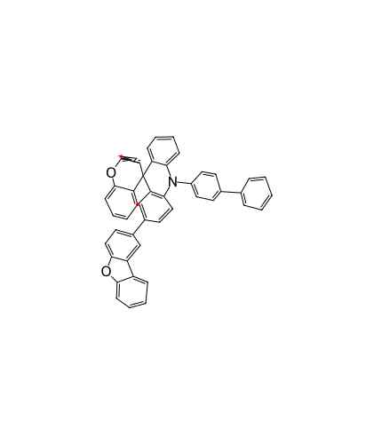 c1ccc(-c2ccc(N3c4ccccc4C4(c5ccccc5Oc5ccccc54)c4cc(-c5ccc6oc7ccccc7c6c5)ccc43)cc2)cc1